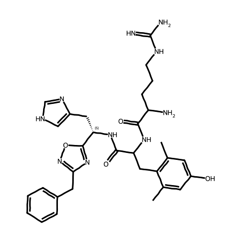 Cc1cc(O)cc(C)c1CC(NC(=O)C(N)CCCNC(=N)N)C(=O)N[C@@H](Cc1c[nH]cn1)c1nc(Cc2ccccc2)no1